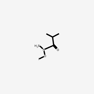 CC(C)C(=O)N([SiH3])OI